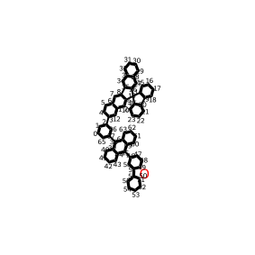 c1cc(-c2ccc3cc4c(cc3c2)C2(c3ccccc3-c3ccccc32)c2cc3ccccc3cc2-4)cc(-c2c3ccccc3c(-c3ccc4oc5ccccc5c4c3)c3ccccc23)c1